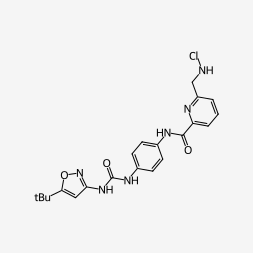 CC(C)(C)c1cc(NC(=O)Nc2ccc(NC(=O)c3cccc(CNCl)n3)cc2)no1